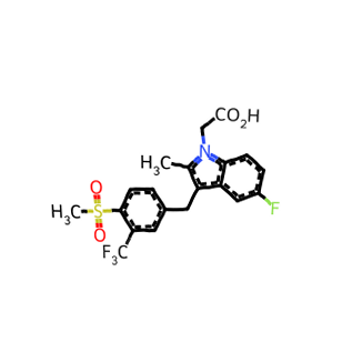 Cc1c(Cc2ccc(S(C)(=O)=O)c(C(F)(F)F)c2)c2cc(F)ccc2n1CC(=O)O